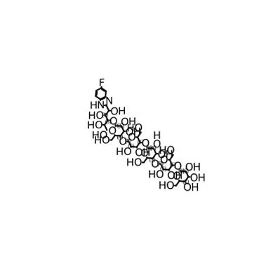 OCC1O[C@H](O[C@@H]2C(CO)O[C@H](O[C@@H]3C(CO)O[C@H](O[C@@H]4C(CO)O[C@H](O[C@H]5C(CO)O[C@H](O[C@@H](C(O)CO)[C@H](O)C(O)c6nc7cc(F)ccc7[nH]6)[C@@H](O)C5O)[C@@H](O)C4O)[C@@H](O)C3O)[C@@H](O)C2O)[C@@H](O)C(O)[C@@H]1O